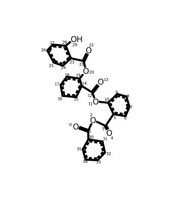 O=C(OC(=O)c1ccccc1OC(=O)c1ccccc1OC(=O)c1ccccc1O)c1ccccc1